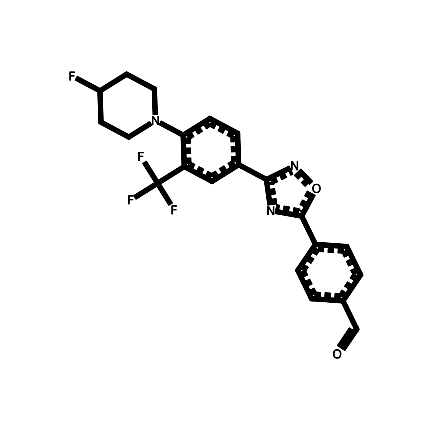 O=Cc1ccc(-c2nc(-c3ccc(N4CCC(F)CC4)c(C(F)(F)F)c3)no2)cc1